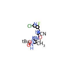 Cc1cc(NC(=O)OC(C)(C)C)nc(C)c1CNC(=O)c1cnn(Cc2cc(F)c3ncc(Cl)cc3c2)c1C#N